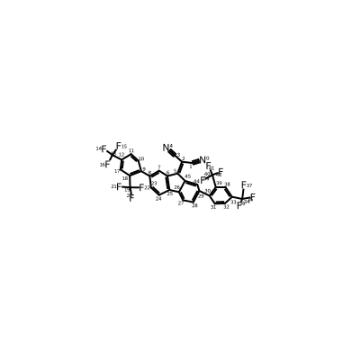 N#CC(C#N)=C1c2cc(-c3ccc(C(F)(F)F)cc3C(F)(F)F)ccc2-c2ccc(-c3ccc(C(F)(F)F)cc3C(F)(F)F)cc21